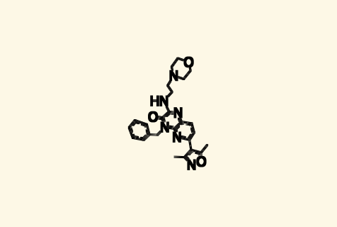 Cc1noc(C)c1-c1ccc2nc(NCCN3CCOCC3)c(=O)n(Cc3ccccc3)c2n1